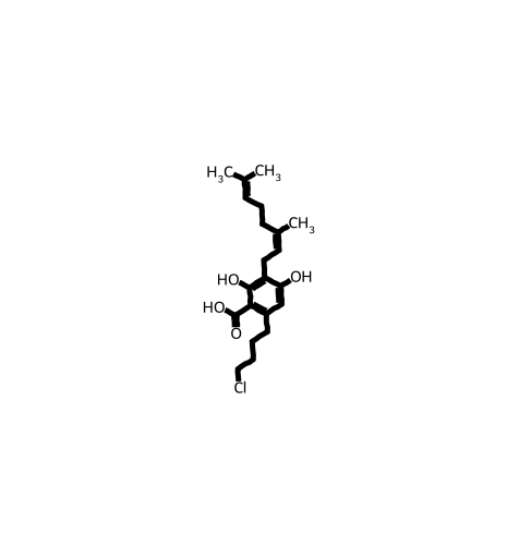 CC(C)=CCCC(C)=CCc1c(O)cc(CCCCCl)c(C(=O)O)c1O